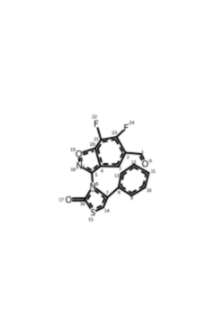 O=Cc1cc2c(-n3c(-c4ccccc4)csc3=O)noc2c(F)c1F